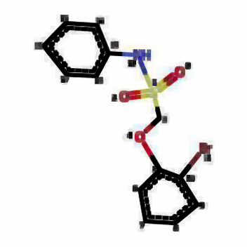 O=S(=O)(COc1ccccc1Br)Nc1ccccc1